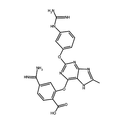 Cc1nc2nc(Oc3cccc(NC(=N)N)c3)nc(Oc3cc(C(=N)N)ccc3C(=O)O)c2[nH]1